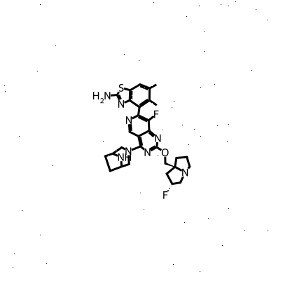 Cc1cc2sc(N)nc2c(-c2ncc3c(N4CC5CCC(C4)N5)nc(OC[C@@]45CCCN4C[C@H](F)C5)nc3c2F)c1C